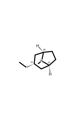 CC[C@@H]1C[C@H]2CC[C@@H](C1)N2C